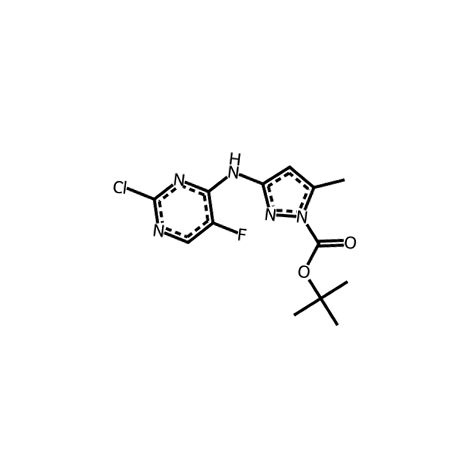 Cc1cc(Nc2nc(Cl)ncc2F)nn1C(=O)OC(C)(C)C